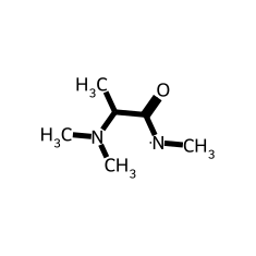 C[N]C(=O)C(C)N(C)C